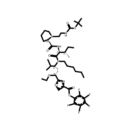 CCCCCCN(C(=O)[C@@H](NC(=O)[C@H]1CCCCN1CCNC(=O)OC(C)(C)C)[C@@H](C)CC)[C@H](C[C@@H](OCC)c1nc(C(=O)Oc2c(F)c(F)c(F)c(F)c2F)cs1)C(C)C